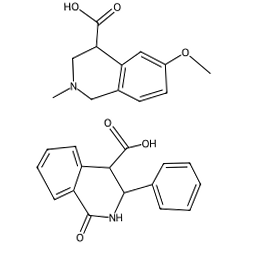 COc1ccc2c(c1)C(C(=O)O)CN(C)C2.O=C1NC(c2ccccc2)C(C(=O)O)c2ccccc21